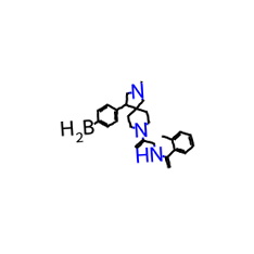 Bc1ccc(C2CN(C)CC23CCN(C(=C)CNC(=C)c2ccccc2C)CC3)cc1